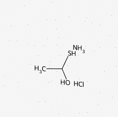 CC(O)S.Cl.N